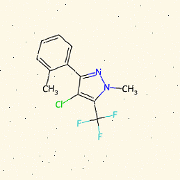 Cc1ccccc1-c1nn(C)c(C(F)(F)F)c1Cl